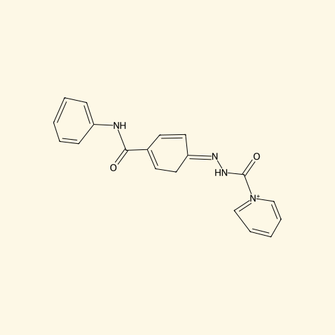 O=C(Nc1ccccc1)C1=CC/C(=N\NC(=O)[n+]2ccccc2)C=C1